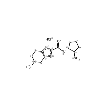 CN1CCc2nc(C(=O)N[C@@H]3CCC[C@H]3N)sc2C1.Cl